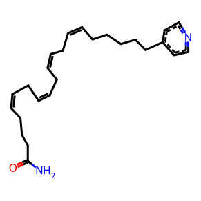 NC(=O)CCC/C=C\C/C=C\C/C=C\C/C=C\CCCCCc1ccncc1